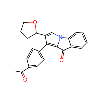 CC(=O)c1ccc(-c2c(C3CCCO3)cn3c2C(=O)c2ccccc2-3)cc1